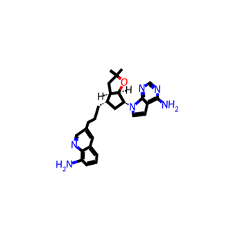 CC1(C)C[C@@H]2[C@@H](CCCc3cnc4c(N)cccc4c3)C[C@@H](n3ccc4c(N)ncnc43)[C@@H]2O1